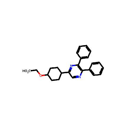 O=C(O)COC1CCC(c2cnc(-c3ccccc3)c(-c3ccccc3)n2)CC1